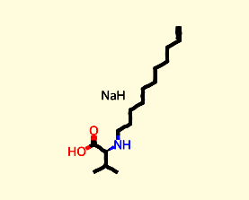 C=CCCCCCCCCCN[C@H](C(=O)O)C(C)C.[NaH]